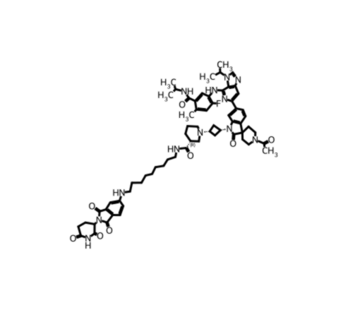 CC(=O)N1CCC2(CC1)C(=O)N([C@H]1C[C@@H](N3CCC[C@@H](C(=O)NCCCCCCCCCNc4ccc5c(c4)C(=O)N(C4CCC(=O)NC4=O)C5=O)C3)C1)c1cc(-c3cc4ncn(C(C)C)c4c(Nc4cc(C(=O)NC(C)C)c(C)cc4F)n3)ccc12